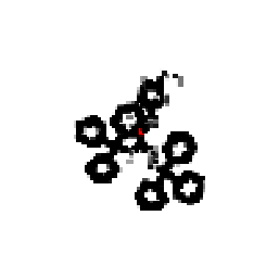 Nc1nc(OC(=O)C(=NOC(c2ccccc2)(c2ccccc2)c2ccccc2)NC(c2ccccc2)(c2ccccc2)c2ccccc2)cs1